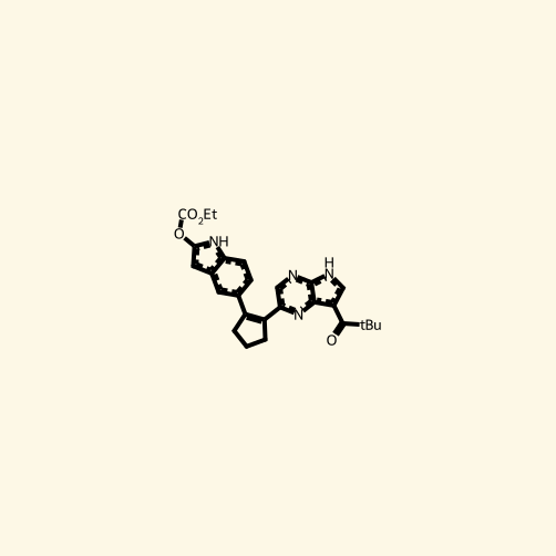 CCOC(=O)Oc1cc2cc(C3=C(c4cnc5[nH]cc(C(=O)C(C)(C)C)c5n4)CCC3)ccc2[nH]1